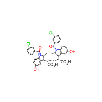 Cc1c(C(CCC(C(=O)O)c2c(C)n(C(=O)c3cccc(Cl)c3)c3ccc(O)cc23)C(=O)O)c2cc(O)ccc2n1C(=O)c1cccc(Cl)c1